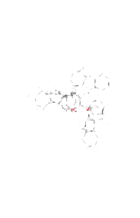 c1ccc2c(c1)-c1ccccc1C2(c1ccccc1-c1cccc2c1oc1ccccc12)c1ccccc1-c1cccc2c1sc1ccccc12